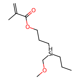 C=C(C)C(=O)OCCC[SiH](CCC)COC